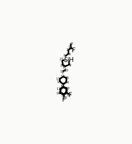 CC(F)CCC[Si@H]1CC[C@H](CC[C@H]2CC[C@H](c3ccc(F)c(F)c3)CC2)CC1